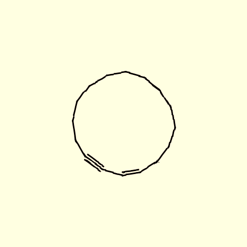 C1#CCCCCCCCCCCC[CH]C=C1